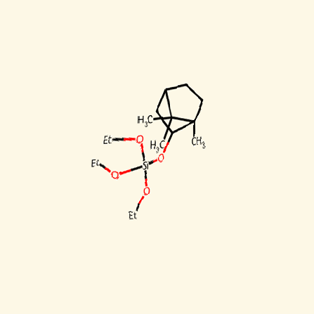 CCO[Si](OCC)(OCC)OC1CC2CCC1(C)C2(C)C